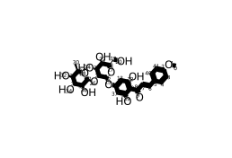 COc1ccc(/C=C/C(=O)c2c(O)cc(O[C@@H]3O[C@@H](CO)[C@@H](O)[C@@H](O)[C@H]3O[C@@H]3O[C@H](C)[C@H](O)[C@H](O)[C@@H]3O)cc2O)cc1